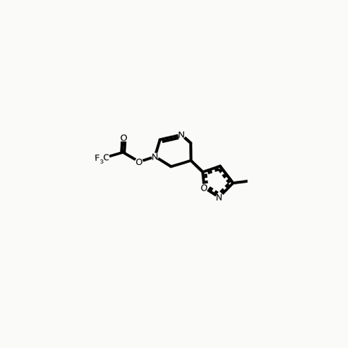 Cc1cc(C2CN=CN(OC(=O)C(F)(F)F)C2)on1